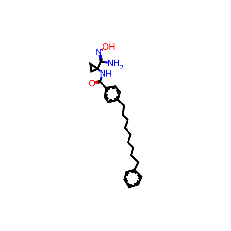 N/C(=N\O)C1(NC(=O)c2ccc(CCCCCCCCCc3ccccc3)cc2)CC1